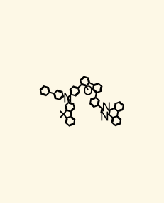 CC1(C)c2ccccc2-c2ccc(N(c3ccc(-c4ccccc4)cc3)c3ccc(-c4cccc5c4oc4c(-c6cccc(-c7cnc8c9ccccc9c9ccccc9c8n7)c6)cccc45)cc3)cc21